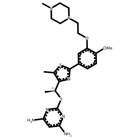 COc1ccc(-c2nc([C@H](C)Sc3nc(N)cc(N)n3)c(C)s2)cc1OCCN1CCN(C)CC1